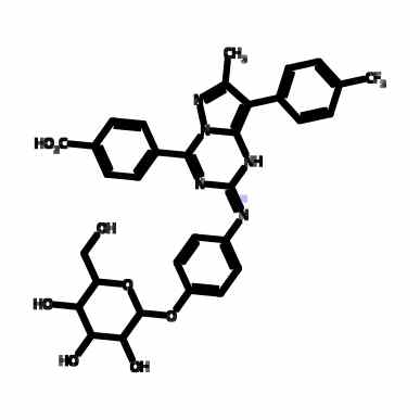 Cc1nn2c(-c3ccc(C(=O)O)cc3)n/c(=N\c3ccc(OC4OC(CO)C(O)C(O)C4O)cc3)[nH]c2c1-c1ccc(C(F)(F)F)cc1